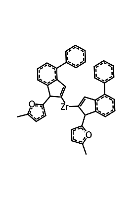 Cc1ccc(C2[C]([Zr][C]3=Cc4c(-c5ccccc5)cccc4C3c3ccc(C)o3)=Cc3c(-c4ccccc4)cccc32)o1